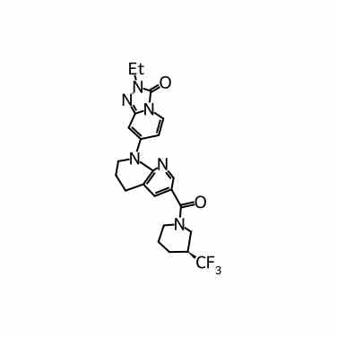 CCn1nc2cc(N3CCCc4cc(C(=O)N5CCC[C@H](C(F)(F)F)C5)cnc43)ccn2c1=O